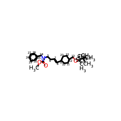 COC(=O)N(CCC=CC1CCC(CO[Si](C)(C)C(C)(C)C)CC1)Cc1ccccc1